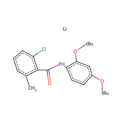 Cc1cccc(Cl)c1C(=O)Pc1ccc(OC(C)(C)C)cc1OC(C)(C)C.[Li]